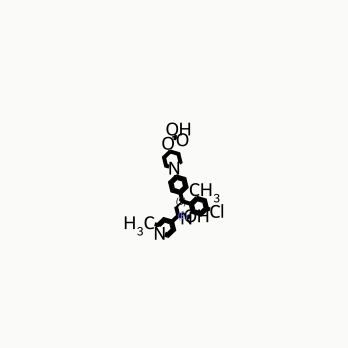 Cc1cc(/C(C[C@@H](c2ccc(N3CCC(OC(=O)O)CC3)cc2)c2ccc(Cl)cc2C)=N/O)ccn1